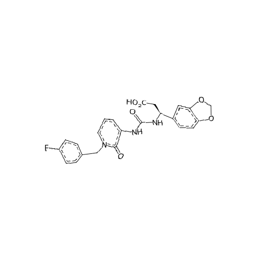 O=C(O)C[C@H](NC(=O)Nc1cccn(Cc2ccc(F)cc2)c1=O)c1ccc2c(c1)OCO2